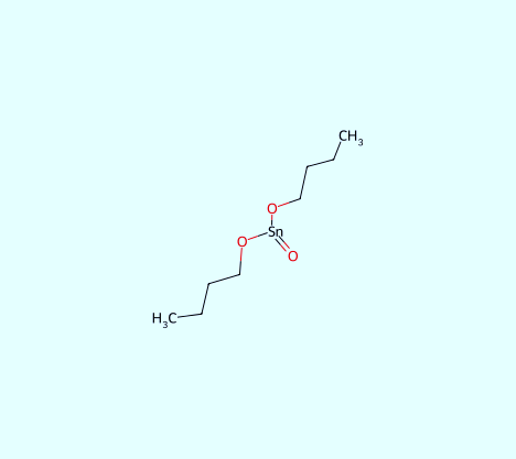 CCCC[O][Sn](=[O])[O]CCCC